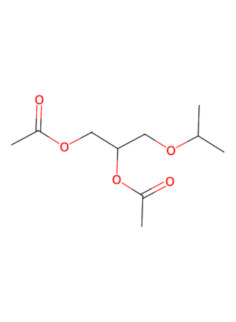 CC(=O)OCC(COC(C)C)OC(C)=O